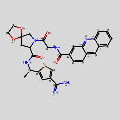 C[C@@H](NC(=O)C1CC2(CN1C(=O)CNC(=O)c1ccc3cc4ccccc4nc3c1)OCCO2)c1cc(C(=N)N)cs1